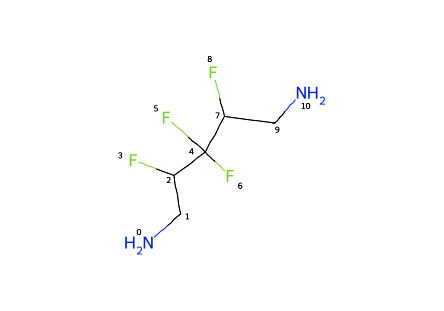 NCC(F)C(F)(F)C(F)CN